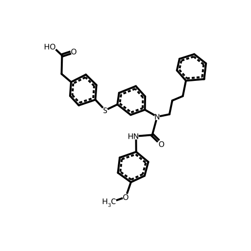 COc1ccc(NC(=O)N(CCCc2ccccc2)c2cccc(Sc3ccc(CC(=O)O)cc3)c2)cc1